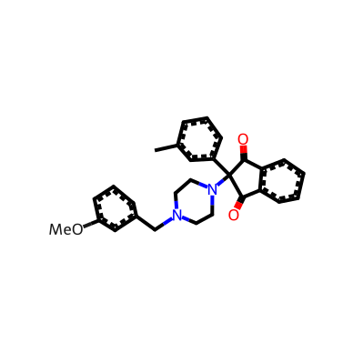 COc1cccc(CN2CCN(C3(c4cccc(C)c4)C(=O)c4ccccc4C3=O)CC2)c1